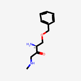 CNCC(=O)[C@@H](N)COCc1ccccc1